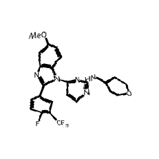 COc1ccc2c(c1)nc(-c1ccc(F)c(C(F)(F)F)c1)n2-c1ccnc(NC2CCOCC2)n1